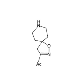 CC(=O)C1=NOC2(CCNCC2)C1